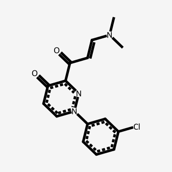 CN(C)/C=C/C(=O)c1nn(-c2cccc(Cl)c2)ccc1=O